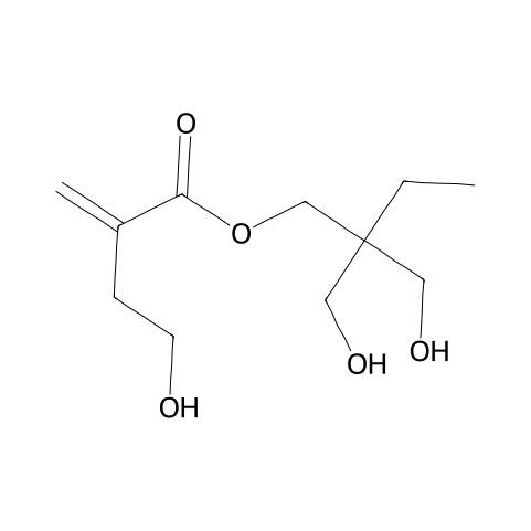 C=C(CCO)C(=O)OCC(CC)(CO)CO